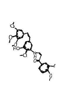 COc1ccc(C(=O)/C=C\Nc2cc(/C=C\c3cc(OC)c(OC)c(OC)c3)cc(O)c2OC)cc1F